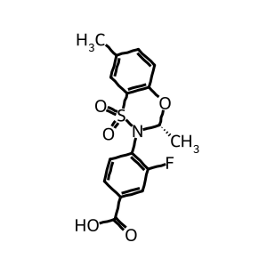 Cc1ccc2c(c1)S(=O)(=O)N(c1ccc(C(=O)O)cc1F)[C@@H](C)O2